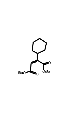 CC(C)COC(=O)/C=C(\C(=O)OCC(C)C)C1CCCCC1